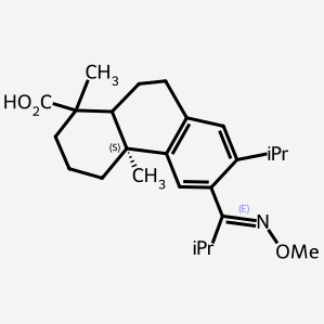 CO/N=C(/c1cc2c(cc1C(C)C)CCC1C(C)(C(=O)O)CCC[C@]21C)C(C)C